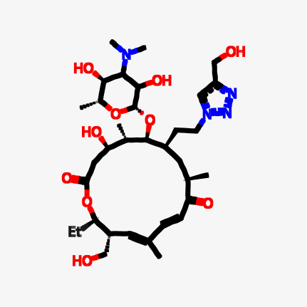 CC[C@H]1OC(=O)C[C@@H](O)[C@H](C)[C@@H](O[C@@H]2O[C@H](C)[C@@H](O)C(N(C)C)C2O)[C@@H](CCn2cc(CO)nn2)C[C@@H](C)C(=O)/C=C/C(C)=C/[C@@H]1CO